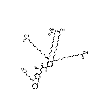 CCCCCCN1c2ccccc2Sc2cc(/C=C(\C#N)C(=O)Nc3ccc(N(CCCCCCCCCCC(=O)O)CCCCCCCCCCC(=O)O)c(N(CCCCCCCCCCC(=O)O)CCCCCCCCCCC(=O)O)c3)ccc21